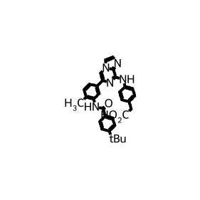 Cc1ccc(-c2cn3ccnc3c(Nc3ccc(CC(=O)O)cc3)n2)cc1NC(=O)c1ccc(C(C)(C)C)cc1